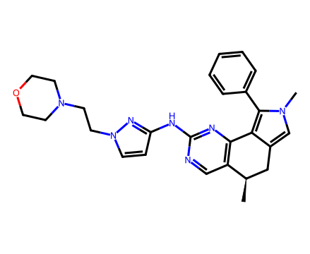 C[C@@H]1Cc2cn(C)c(-c3ccccc3)c2-c2nc(Nc3ccn(CCN4CCOCC4)n3)ncc21